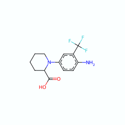 Nc1ccc(N2CCCCC2C(=O)O)cc1C(F)(F)F